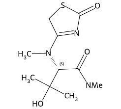 CNC(=O)[C@@H](N(C)C1=NC(=O)SC1)C(C)(C)O